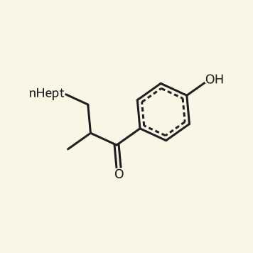 CCCCCCCCC(C)C(=O)c1ccc(O)cc1